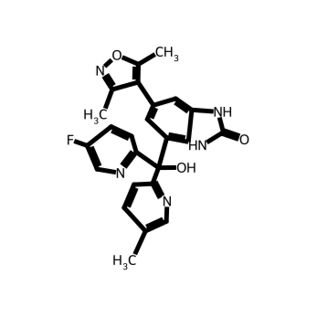 Cc1ccc(C(O)(c2ccc(F)cn2)c2cc(-c3c(C)noc3C)cc3[nH]c(=O)[nH]c23)nc1